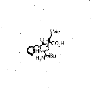 CC[C@H](C)[C@H](N)C(=O)N[C@@H](Cc1ccccc1)C(=O)N[C@@H](CCSC)C(=O)O